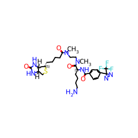 CN(CCN(C)C(=O)[C@H](CCCCN)NC(=O)c1ccc(C2(C(F)(F)F)N=N2)cc1)C(=O)CCCC[C@@H]1SC[C@@H]2NC(=O)N[C@@H]21